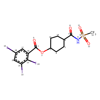 O=C(OC1CCC(C(=O)NS(=O)(=O)C(F)(F)F)CC1)c1cc(I)cc(I)c1I